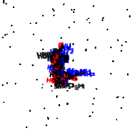 CSCC[C@H](NC(=O)[C@H](CCC(=O)O)NC(=O)CNC(=O)CNC(=O)[C@H](CCCNC(=N)N)NC(=O)[C@@H](N)CCC(N)=O)C(=O)N[C@@H](CO)C(=O)N[C@@H](C)C(=O)N[C@@H](CCCNC(=N)N)C(=O)N[C@@H](Cc1ccc(O)cc1)C(=O)NCC(=O)NCC(=O)NCC(=O)N[C@@H](CC(C)C)C(=O)N[C@@H](CCC(N)=O)C(=O)N[C@@H](Cc1ccccc1)C(=O)N[C@@H](Cc1ccccc1)C(=O)N[C@@H](C)C(=O)N[C@@H](CC(=O)O)C(=O)N[C@@H](C)C(=O)O